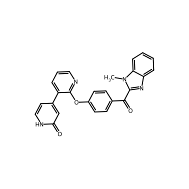 Cn1c(C(=O)c2ccc(Oc3ncccc3-c3cc[nH]c(=O)c3)cc2)nc2ccccc21